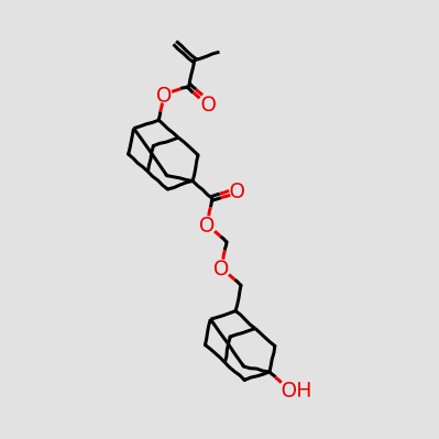 C=C(C)C(=O)OC1C2CC3CC1CC(C(=O)OCOCC1C4CC5CC1CC(O)(C5)C4)(C3)C2